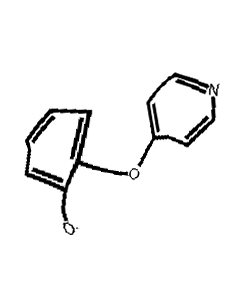 [O]c1ccccc1Oc1ccncc1